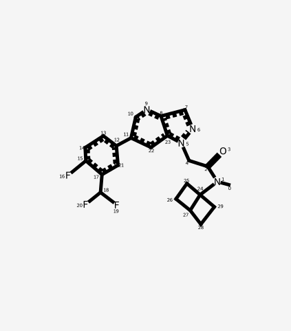 CN(C(=O)Cn1ncc2ncc(-c3ccc(F)c(C(F)F)c3)cc21)C12CCC1CC2